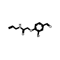 C=CCNC(=O)COc1ccc(C=O)cc1Br